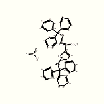 CCN(CC)CC.O=C(O)/C(=N\OC(c1ccccc1)(c1ccccc1)c1ccccc1)c1csc(NC(c2ccccc2)(c2ccccc2)c2ccccc2)n1